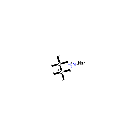 C[Si](C)(C)[Si](C)(C)C.N.[Na+]